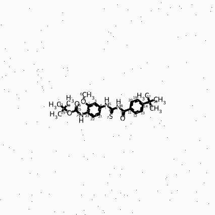 COc1cc(NC(=S)NC(=O)c2ccc(C(C)(C)C)cc2)ccc1NC(=O)OC(C)(C)C